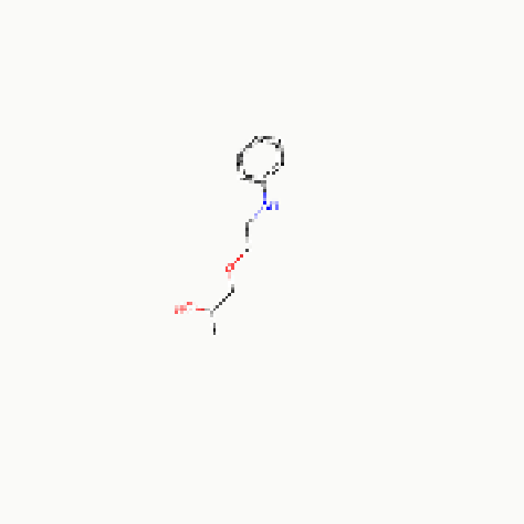 CC(O)COCCNc1ccccc1